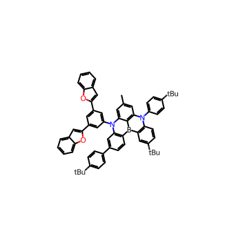 Cc1cc2c3c(c1)N(c1cc(-c4cc5ccccc5o4)cc(-c4cc5ccccc5o4)c1)c1cc(-c4ccc(C(C)(C)C)cc4)ccc1B3c1cc(C(C)(C)C)ccc1N2c1ccc(C(C)(C)C)cc1